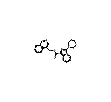 O=C(NCc1cncc2ccccc12)c1nc(N2CCOCC2)n2ccccc12